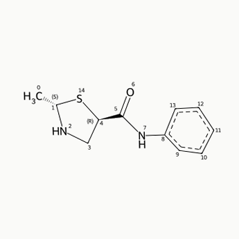 C[C@H]1NC[C@H](C(=O)Nc2ccccc2)S1